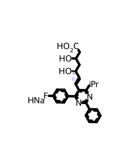 CC(C)c1nc(-c2ccccc2)nc(-c2ccc(F)cc2)c1/C=C/[C@@H](O)CC(O)CC(=O)O.[NaH]